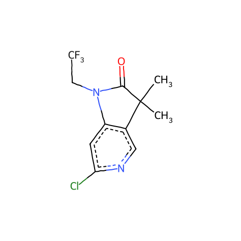 CC1(C)C(=O)N(CC(F)(F)F)c2cc(Cl)ncc21